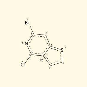 Clc1nc(Br)cc2sccc12